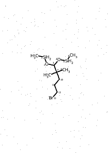 C[SiH2]OC(O[SiH2]C)C(C)(C)CCCBr